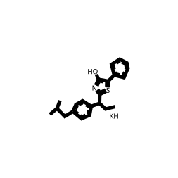 CCC(c1ccc(CC(C)C)cc1)c1nc(O)c(-c2ccccc2)s1.[KH]